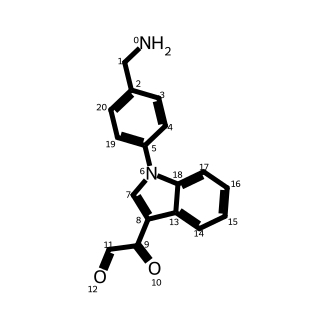 NCc1ccc(-n2cc(C(=O)C=O)c3ccccc32)cc1